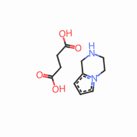 O=C(O)CCC(=O)O.c1cc2n(c1)CCNC2